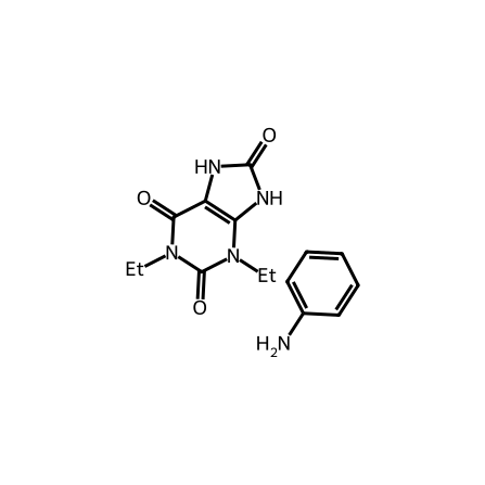 CCn1c(=O)c2[nH]c(=O)[nH]c2n(CC)c1=O.Nc1ccccc1